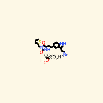 CN(C)CCc1c[nH]c2ccc(CCC3NC(=O)N(Cc4cccs4)C3=O)cc12.O.O=C(O)/C=C\C(=O)O